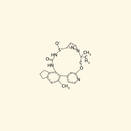 Cc1cc2c(c3c1-c1ccnc(c1)OCC(C)(C)n1ccc(n1)[S+]([O-])NC(=O)N3)CCC2